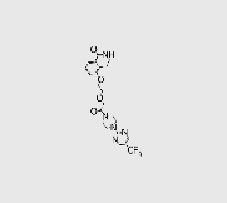 O=C1NCCc2c(OCCOCC(=O)N3CCN(c4ncc(C(F)(F)F)cn4)CC3)cccc21